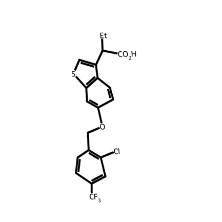 CCC(C(=O)O)c1csc2cc(OCc3ccc(C(F)(F)F)cc3Cl)ccc12